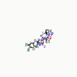 CC[C@@H]1C(=O)N[C@H](C)CCN1C(=O)C[C@H](N)Cc1cc(F)c(F)cc1F